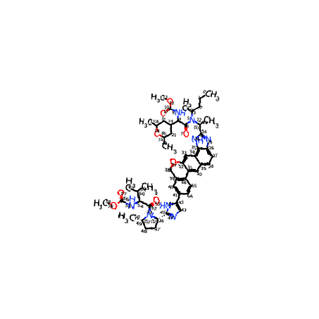 CCC[C@H](C)N(C(=O)C(NC(=O)OC)C1CC(C)O[C@H](C)C1)[C@@H](C)c1nc2ccc3cc4c(cc3c2[nH]1)OCc1cc(-c2cnc([C@@H]3CC[C@H](C)N3C(=O)C(NC(=O)OC)C(C)C)[nH]2)ccc1-4